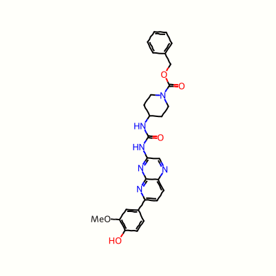 COc1cc(-c2ccc3ncc(NC(=O)NC4CCN(C(=O)OCc5ccccc5)CC4)nc3n2)ccc1O